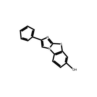 Oc1ccc2c(c1)sc1nc(-c3ccccc3)cn12